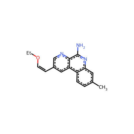 CCO/C=C\c1cnc2c(N)nc3cc(C)ccc3c2c1